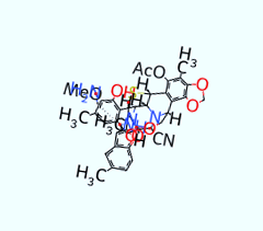 COc1c(C)cc2c(c1O)[C@H]1[C@@H]3[C@@H]4SC[C@]5(N[C@@H](CN)Cc6c5oc5ccc(C)cc65)C(=O)OC[C@@H](c5c6c(c(C)c(OC(C)=O)c54)OCO6)N3[C@@H](C#N)[C@H](C2)N1C